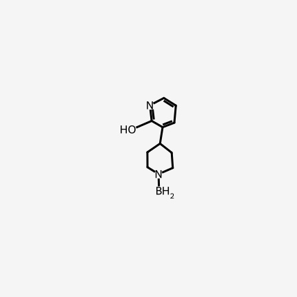 BN1CCC(c2cccnc2O)CC1